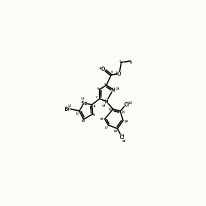 CCOC(=O)c1cc(-c2ccc(Br)[se]2)n(-c2ccc(Cl)cc2Cl)n1